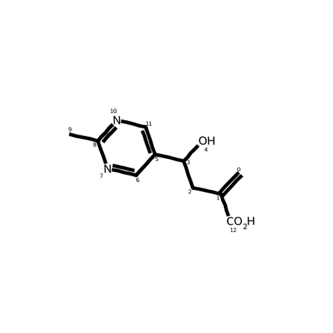 C=C(CC(O)c1cnc(C)nc1)C(=O)O